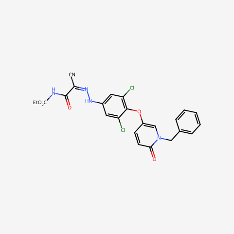 CCOC(=O)NC(=O)C(C#N)=NNc1cc(Cl)c(Oc2ccc(=O)n(Cc3ccccc3)c2)c(Cl)c1